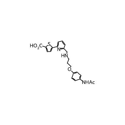 CC(=O)Nc1ccc(OCCCNCc2cccc(-c3ccc(C(=O)O)s3)n2)cc1